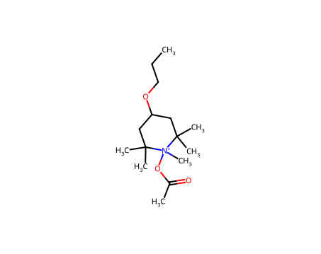 CCCOC1CC(C)(C)[N+](C)(OC(C)=O)C(C)(C)C1